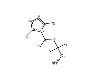 CCCOC(C)(C)CC(C)n1c(C)ccc1C